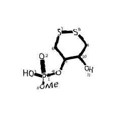 COP(=O)(O)OC1CSSCC1O